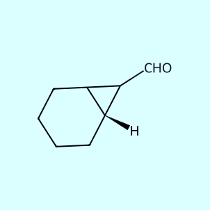 O=CC1C2CCCC[C@@H]12